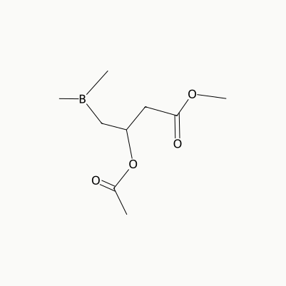 COC(=O)CC(CB(C)C)OC(C)=O